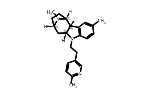 Cc1ccc2c(c1)[C@@H]1[C@@H](C[C@@H]3CC[C@H]1N3C)N2CCc1ccc(C)nc1